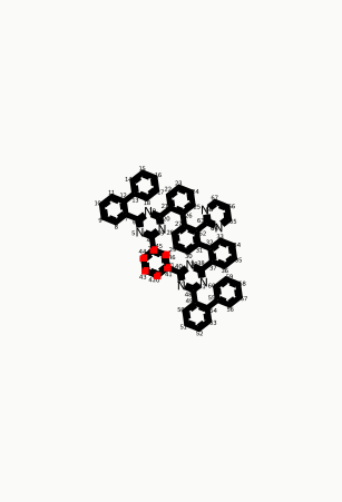 c1ccc(-c2nc(-c3ccccc3-c3ccccc3)nc(-c3ccccc3-c3cccc(-c4ccccc4-c4nc(-c5ccccc5)nc(-c5ccccc5-c5ccccc5)n4)c3-c3ncccn3)n2)cc1